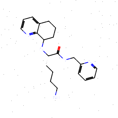 NCCCC[C@H](NC1CCCc2cccnc21)C(=O)NCc1ccccn1